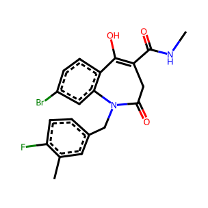 CNC(=O)C1=C(O)c2ccc(Br)cc2N(Cc2ccc(F)c(C)c2)C(=O)C1